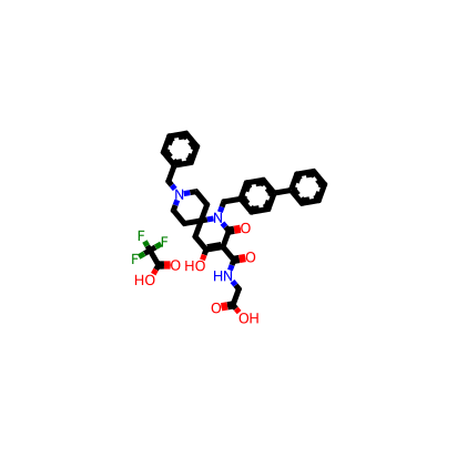 O=C(O)C(F)(F)F.O=C(O)CNC(=O)C1=C(O)CC2(CCN(Cc3ccccc3)CC2)N(Cc2ccc(-c3ccccc3)cc2)C1=O